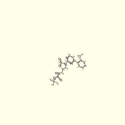 COc1ccccc1-c1ccnc(N2CC(CNC(=O)OC(C)(C)C)OC2=O)n1